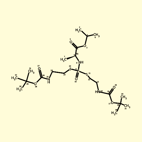 CC(C)OC(=O)[C@H](C)NP(=O)(SCCNC(=O)OC(C)(C)C)SCCNC(=O)OC(C)(C)C